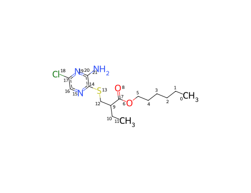 CCCCCCOC(=O)C(CC)CSc1ncc(Cl)nc1N